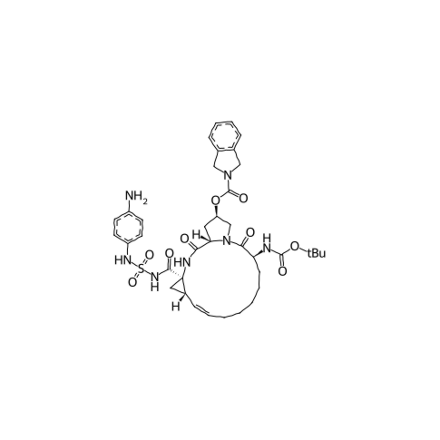 CC(C)(C)OC(=O)N[C@H]1CCCCC/C=C\[C@@H]2C[C@@]2(C(=O)NS(=O)(=O)Nc2ccc(N)cc2)NC(=O)[C@@H]2C[C@@H](OC(=O)N3Cc4ccccc4C3)CN2C1=O